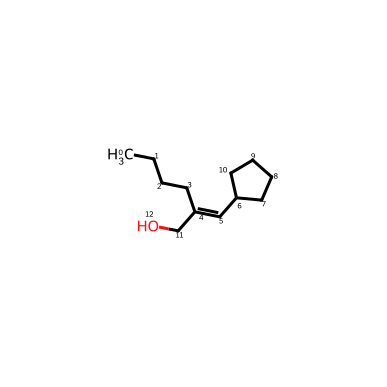 CCCC/C(=C\C1CCCC1)CO